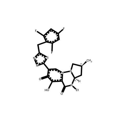 CCN1C(=O)c2c(O)c(=O)c(-c3nnc(Cc4c(F)cc(F)cc4F)s3)cn2N2C[C@@H](C)C[C@@H]12